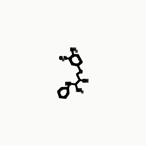 Nc1ccc(OCC(O)C(N)Nc2ccccc2)cc1[N+](=O)[O-]